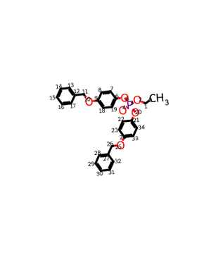 CCOP(=O)(Oc1ccc(OCc2ccccc2)cc1)Oc1ccc(OCc2ccccc2)cc1